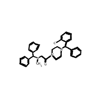 CN(CC(=O)N1CCN(C(c2ccccc2)c2ccccc2Cl)CC1)C(c1ccccc1)c1ccccc1